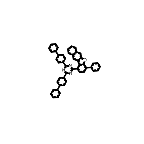 c1ccc(-c2ccc(-c3nc(-c4ccc(-c5ccccc5)cc4)nc(-c4ccc(-c5ccccc5)c5oc6cc7ccccc7cc6c45)n3)cc2)cc1